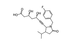 CC(C)C1CC(=O)N(Cc2ccc(F)cc2)C1C#C[C@H](O)C[C@H](O)CC(=O)O